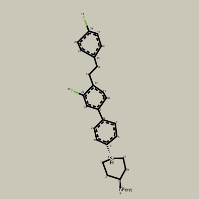 CCCCC[C@H]1CC[Si@H](c2ccc(-c3ccc(CCc4ccc(F)cc4)c(F)c3)cc2)CC1